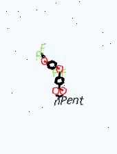 CCCCCC1COC(c2ccc(C(F)(F)Oc3ccc(OC=C(F)F)cc3)cc2)OC1